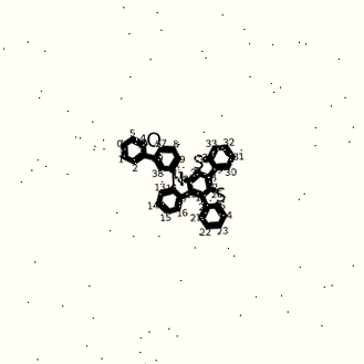 c1ccc2c(c1)oc1ccc(-n3c4ccccc4c4c5c6ccccc6sc5c5c6ccccc6sc5c43)cc12